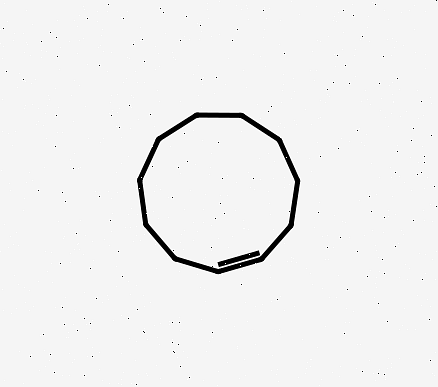 C1=C\CCCCCCCCC/1